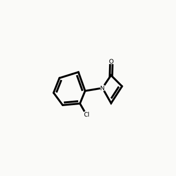 O=C1C=CN1c1ccccc1Cl